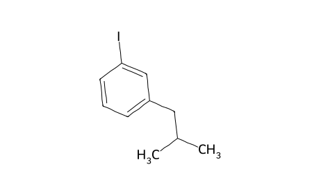 CC(C)Cc1cccc(I)c1